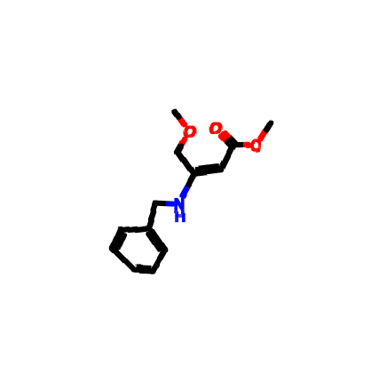 COCC(=CC(=O)OC)NCc1ccccc1